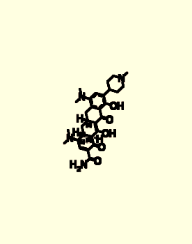 CN1CCC(c2cc(N(C)C)c3c(c2O)C(=O)C2=C(O)[C@H]4C(=O)C(C(N)=O)=C[C@@H](N(C)C)[C@@H]4C[C@@H]2C3)CC1